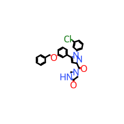 O=C1CN(C(=O)c2cc(-c3cccc(OCc4ccccc4)c3)n(-c3cccc(Cl)c3)n2)CN1